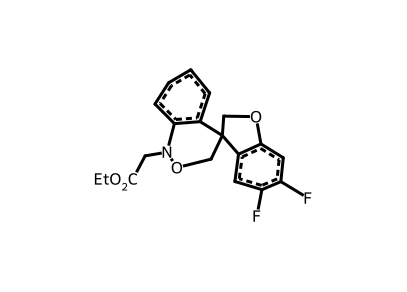 CCOC(=O)CN1OCC2(COc3cc(F)c(F)cc32)c2ccccc21